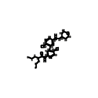 CCCC(CCC)C(=O)Nc1cc(-c2nc(NCC3CCOCC3)cnc2Cl)c(Cl)cn1